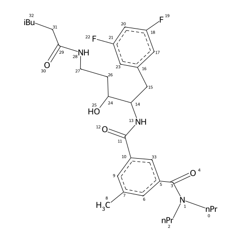 CCCN(CCC)C(=O)c1cc(C)cc(C(=O)NC(Cc2cc(F)cc(F)c2)C(O)CCNC(=O)CC(C)CC)c1